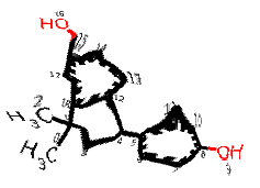 CC1(C)CC(c2ccc(O)cc2)c2ccc(O)cc21